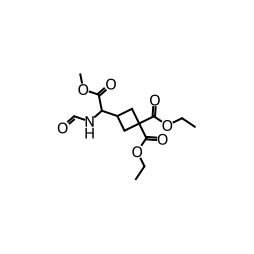 CCOC(=O)C1(C(=O)OCC)CC(C(NC=O)C(=O)OC)C1